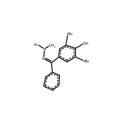 CC(=O)N(C)N=C(c1ccccc1)c1cc(C(C)(C)C)c(O)c(C(C)(C)C)c1